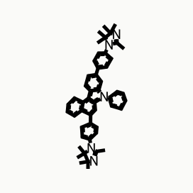 CC1=NC(C)(C)C(C)(C)N1c1ccc(-c2ccc3c4c5ccccc5c(-c5ccc(N6C(C)=NC(C)(C)C6(C)C)cc5)cc4n(-c4ccccc4)c3c2)cc1